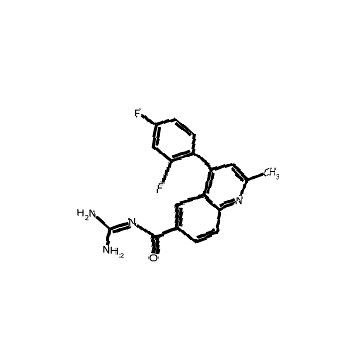 Cc1cc(-c2ccc(F)cc2F)c2cc(C(=O)N=C(N)N)ccc2n1